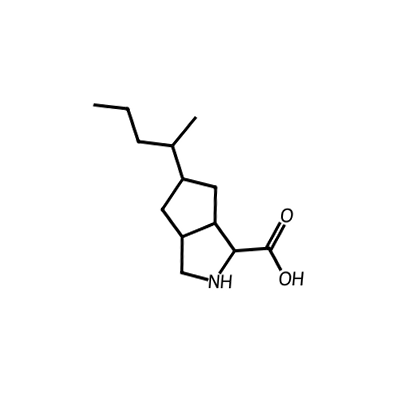 CCCC(C)C1CC2CNC(C(=O)O)C2C1